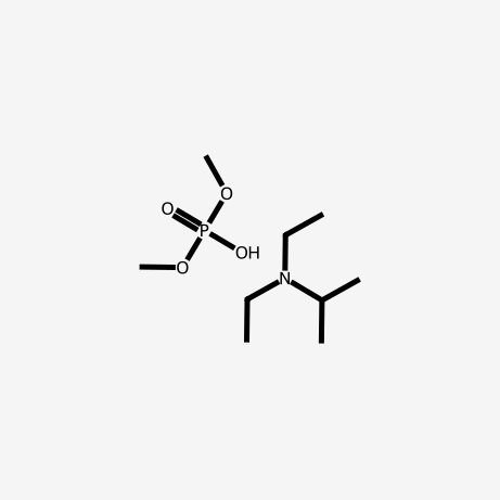 CCN(CC)C(C)C.COP(=O)(O)OC